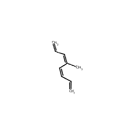 C=C/C=C\C(C)=C/C=C